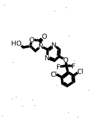 O=C1OC(CO)CN1c1ncc(OC(F)(F)c2c(Cl)cccc2Cl)cn1